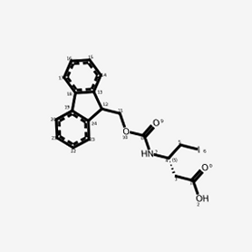 O=C(O)C[C@@H](CI)NC(=O)OCC1c2ccccc2-c2ccccc21